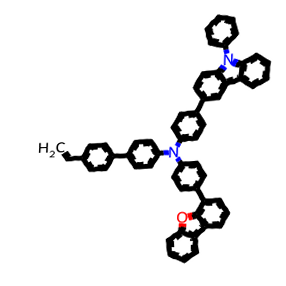 C=Cc1ccc(-c2ccc(N(c3ccc(-c4ccc5c(c4)c4ccccc4n5-c4ccccc4)cc3)c3ccc(-c4cccc5c4oc4ccccc45)cc3)cc2)cc1